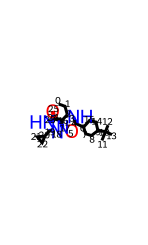 CCC(NC(=O)C1CCC(C(C)(C)C)CC1)c1nnc(C2CC2)[nH]c1=O